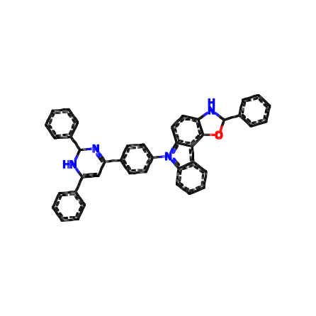 C1=C(c2ccccc2)NC(c2ccccc2)N=C1c1ccc(-n2c3ccccc3c3c4c(ccc32)NC(c2ccccc2)O4)cc1